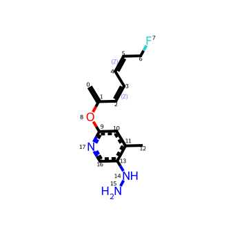 C=C(/C=C\C=C/CF)Oc1cc(C)c(NN)cn1